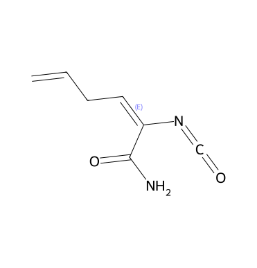 C=CC/C=C(/N=C=O)C(N)=O